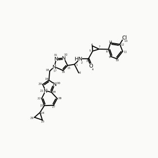 CC(NC(=O)C1CC1c1cccc(Cl)c1)c1cn(Cc2cn3cc(C4CC4)ccc3n2)nn1